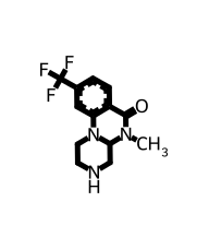 CN1C(=O)c2ccc(C(F)(F)F)cc2N2CCNCC12